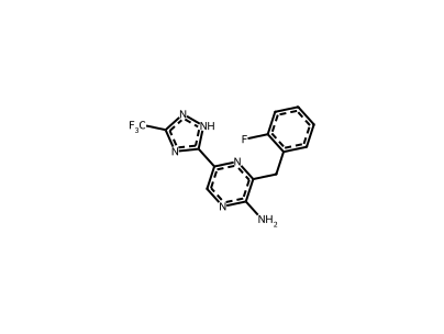 Nc1ncc(-c2nc(C(F)(F)F)n[nH]2)nc1Cc1ccccc1F